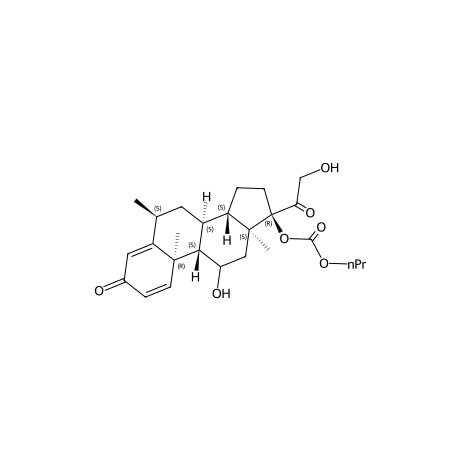 CCCOC(=O)O[C@]1(C(=O)CO)CC[C@H]2[C@@H]3C[C@H](C)C4=CC(=O)C=C[C@]4(C)[C@H]3C(O)C[C@@]21C